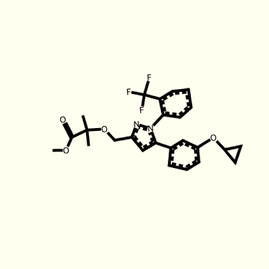 COC(=O)C(C)(C)OCc1cc(-c2cccc(OC3CC3)c2)n(-c2ccccc2C(F)(F)F)n1